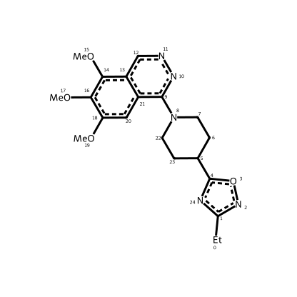 CCc1noc(C2CCN(c3nncc4c(OC)c(OC)c(OC)cc34)CC2)n1